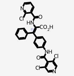 O=C(O)/C(NC(=O)c1cccnc1Cl)=C(/c1ccccc1)c1ccc(NC(=O)c2c(Cl)cncc2Cl)cc1